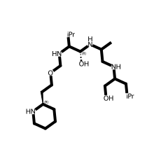 CC(C)CC(CO)NCC(C)N[C@H](O)C(NCOCC[C@H]1CCCCN1)C(C)C